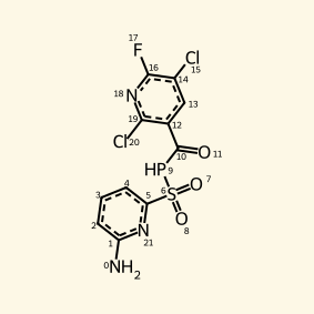 Nc1cccc(S(=O)(=O)PC(=O)c2cc(Cl)c(F)nc2Cl)n1